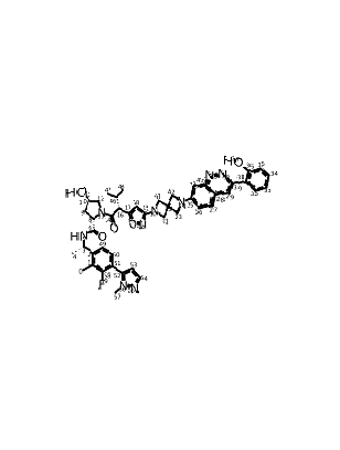 Cc1c([C@H](C)NC(=O)[C@@H]2C[C@@H](O)CN2C(=O)[C@@H](c2cc(N3CC4(CN(c5ccc6cc(-c7ccccc7O)nnc6c5)C4)C3)no2)C(C)C)ccc(-c2ccnn2C)c1F